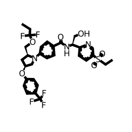 CCC(F)(F)OC[C@@H]1C[C@H](Oc2ccc(C(F)(F)F)cc2)CN1c1ccc(C(=O)N[C@@H](CO)c2ccc(S(=O)(=O)CC)cn2)cc1